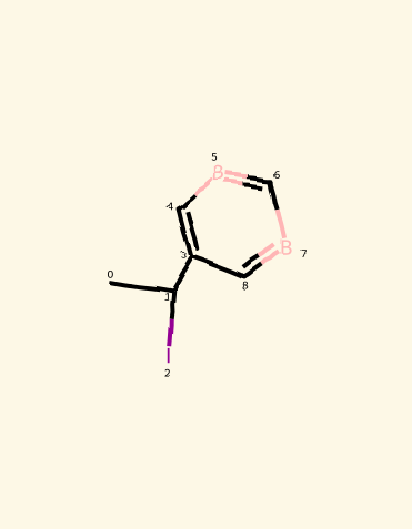 CC(I)c1cbcbc1